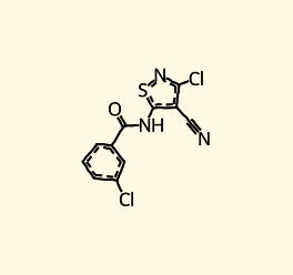 N#Cc1c(Cl)nsc1NC(=O)c1cccc(Cl)c1